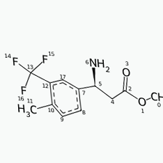 COC(=O)C[C@H](N)c1ccc(C)c(C(F)(F)F)c1